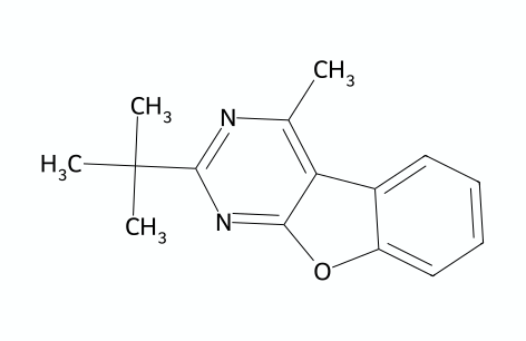 Cc1nc(C(C)(C)C)nc2oc3ccccc3c12